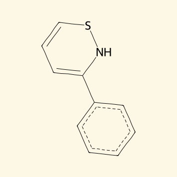 C1=CSNC(c2ccccc2)=C1